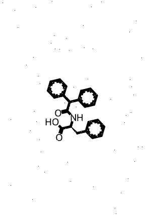 O=C(N[C@@H](Cc1ccccc1)C(=O)O)C(c1ccccc1)c1ccccc1